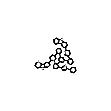 c1ccc(-c2ccc(-c3ccccc3-c3cc(-c4ccccc4-c4ccc(-c5ccc6oc7ccccc7c6c5)nc4)cc(-c4ccccc4-c4ccc(-c5ccc6oc7cccnc7c6c5)nc4)c3)cn2)cc1